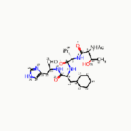 CC(=O)N[C@H](C(=O)N[C@H](C(=O)N[C@@H](CC1CCCCC1)C(=O)N[C@H](C=O)Cc1c[nH]cn1)C(C)C)C(C)O